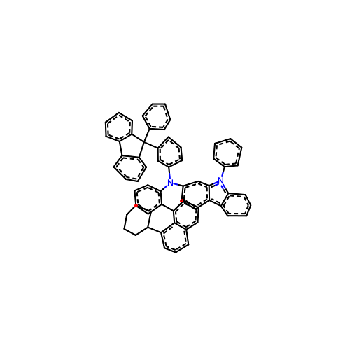 c1ccc(-n2c3ccccc3c3ccc(N(c4cccc(C5(c6ccccc6)c6ccccc6-c6ccccc65)c4)c4ccccc4-c4cccc5cccc(C6CCCCC6)c45)cc32)cc1